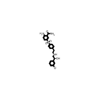 NC(=O)c1cc(S(=O)(=O)c2ccc(CCNC[C@@H](O)c3cccc(Cl)c3)cc2)ccc1N